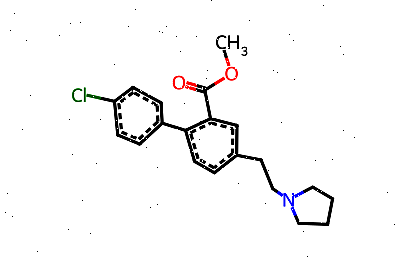 COC(=O)c1cc(CCN2CCCC2)ccc1-c1ccc(Cl)cc1